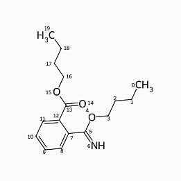 CCCCOC(=N)c1ccccc1C(=O)OCCCC